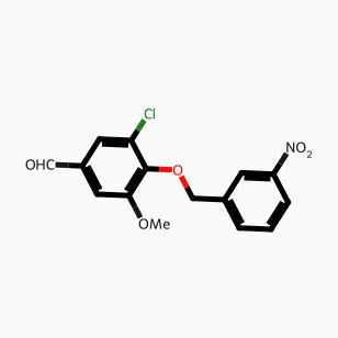 COc1cc(C=O)cc(Cl)c1OCc1cccc([N+](=O)[O-])c1